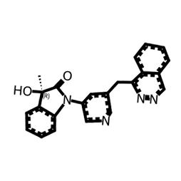 C[C@]1(O)C(=O)N(c2cncc(Cc3nncc4ccccc34)c2)c2ccccc21